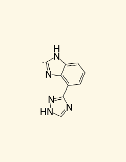 [c]1nc2c(-c3nc[nH]n3)cccc2[nH]1